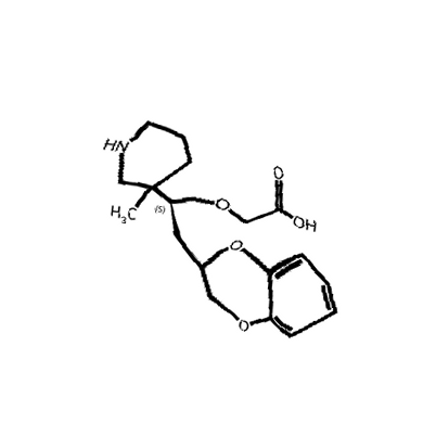 CC1([C@H](CC2COc3ccccc3O2)OCC(=O)O)CCCNC1